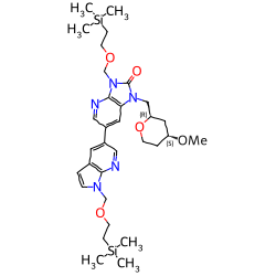 CO[C@H]1CCO[C@@H](Cn2c(=O)n(COCC[Si](C)(C)C)c3ncc(-c4cnc5c(ccn5COCC[Si](C)(C)C)c4)cc32)C1